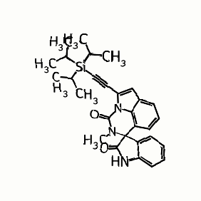 CC(C)[Si](C#Cc1cc2cccc3c2n1C(=O)N(C)C31C(=O)Nc2ccccc21)(C(C)C)C(C)C